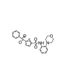 O=S(=O)(Nc1ccccc1N1CCOCC1)c1ccc(S(=O)(=O)c2ccccc2)s1